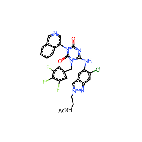 CC(=O)NCCn1cc2cc(Nc3nc(=O)n(-c4cncc5ccccc45)c(=O)n3Cc3cc(F)c(F)c(F)c3)c(Cl)cc2n1